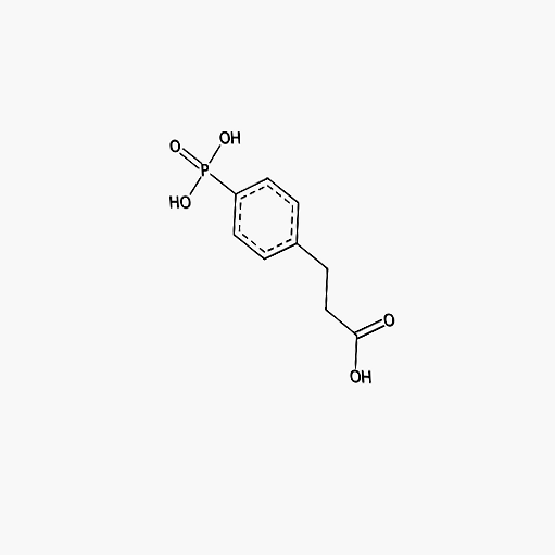 O=C(O)CCc1ccc(P(=O)(O)O)cc1